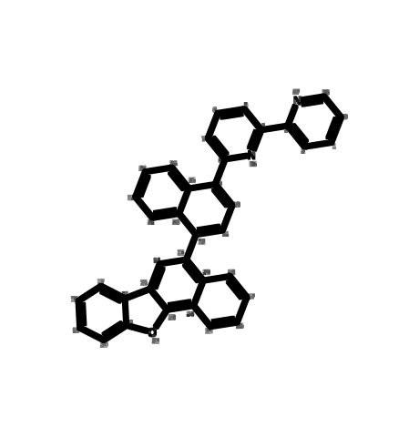 c1ccc(-c2cccc(-c3ccc(-c4cc5c6ccccc6oc5c5ccccc45)c4ccccc34)n2)nc1